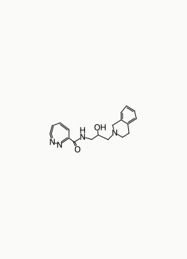 O=C(NCC(O)CN1CCc2ccccc2C1)C1=NN=C=CC=C1